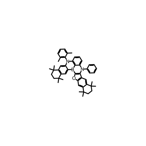 Cc1cccc(C)c1N1c2cc3c(cc2B2c4oc5cc6c(cc5c4N(c4ccccc4)c4cccc1c42)C(C)(C)CCC6(C)C)C(C)(C)CCC3(C)C